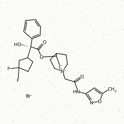 Cc1cc(NC(=O)C[N+]23CCC(CC2)C(OC(=O)[C@](O)(c2ccccc2)C2CCC(F)(F)C2)C3)no1.[Br-]